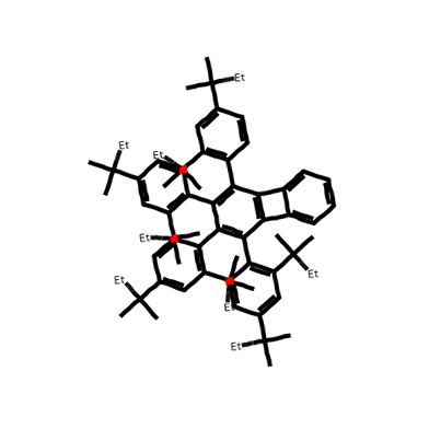 CCC(C)(C)c1ccc(-c2c3c(c(-c4ccc(C(C)(C)CC)cc4C(C)(C)CC)c(-c4ccc(C(C)(C)CC)cc4C(C)(C)CC)c2-c2ccc(C(C)(C)CC)cc2C(C)(C)CC)-c2ccccc2-3)c(C(C)(C)CC)c1